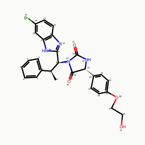 C[C@@H](c1ccccc1)[C@@H](c1nc2ccc(Br)cc2[nH]1)N1C(=O)N[C@H](c2ccc(OCCO)cc2)C1=O